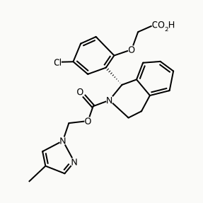 Cc1cnn(COC(=O)N2CCc3ccccc3[C@H]2c2cc(Cl)ccc2OCC(=O)O)c1